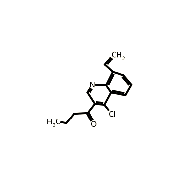 C=Cc1cccc2c(Cl)c(C(=O)CCC)cnc12